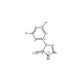 Cc1cc(C)cc(C2C=NNC2=O)c1